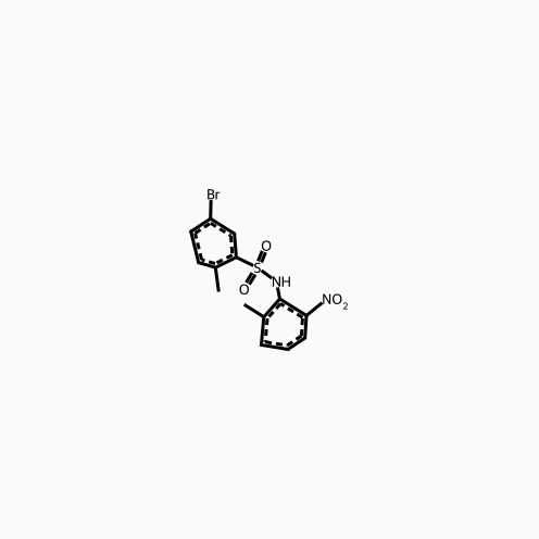 Cc1ccc(Br)cc1S(=O)(=O)Nc1c(C)cccc1[N+](=O)[O-]